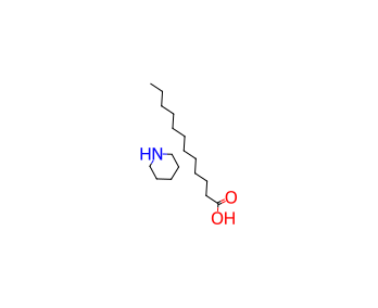 C1CCNCC1.CCCCCCCCCCCC(=O)O